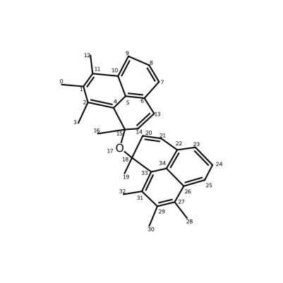 Cc1c(C)c2c3c(cccc3c1C)C=CC2(C)OC1(C)C=Cc2cccc3c(C)c(C)c(C)c1c23